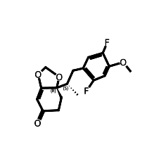 COc1cc(F)c(C[C@H](C)[C@]23CCC(=O)C=C2OCO3)cc1F